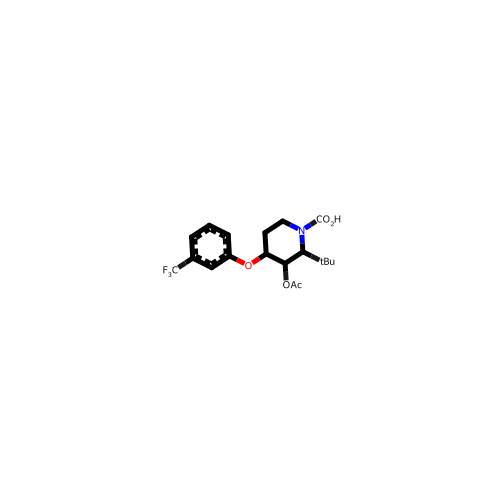 CC(=O)OC1C(Oc2cccc(C(F)(F)F)c2)CCN(C(=O)O)C1C(C)(C)C